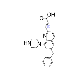 O=C(O)/C=C/c1ccc2cc(Cc3ccccc3)cc(N3CCNCC3)c2n1